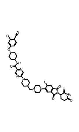 N#Cc1ccc(O[C@H]2CC[C@H](NC(=O)c3cnc(N4CCC(CN5CCN(c6cc7c(cc6F)C(=O)N(C6CCC(=O)NC6=O)C7=O)CC5)CC4)cn3)CC2)cc1Cl